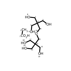 CC(=O)O.OCC(CO)(CO)COCC(CO)(CO)CO